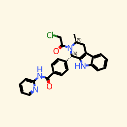 C[C@H]1Cc2c([nH]c3ccccc23)[C@H](c2ccc(C(=O)Nc3ccccn3)cc2)N1C(=O)CCl